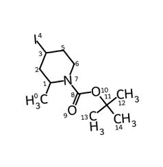 CC1CC(I)CCN1C(=O)OC(C)(C)C